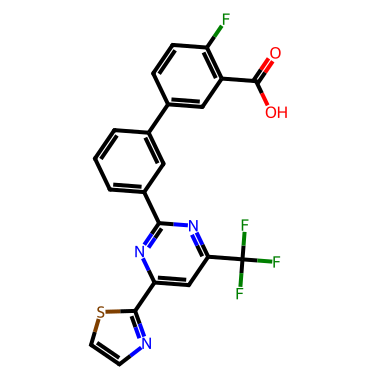 O=C(O)c1cc(-c2cccc(-c3nc(-c4nccs4)cc(C(F)(F)F)n3)c2)ccc1F